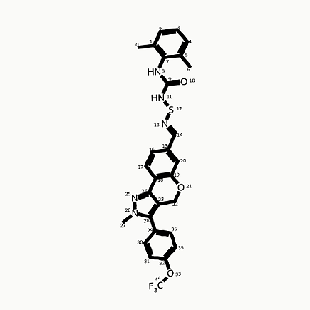 Cc1cccc(C)c1NC(=O)NS/N=C/c1ccc2c(c1)OCc1c-2nn(C)c1-c1ccc(OC(F)(F)F)cc1